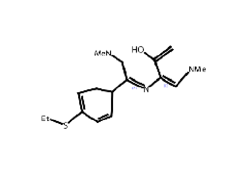 C=C(O)C(=C\NC)/N=C(\CNC)C1C=CC(SCC)=CC1